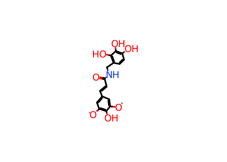 COc1cc(C=CC(=O)NCc2ccc(O)c(O)c2O)cc(OC)c1O